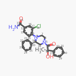 C[C@](O)(C(=O)N1CCN(c2ccc(C(N)=O)cc2Cl)[C@H](c2ccccc2)C1)c1ccccc1